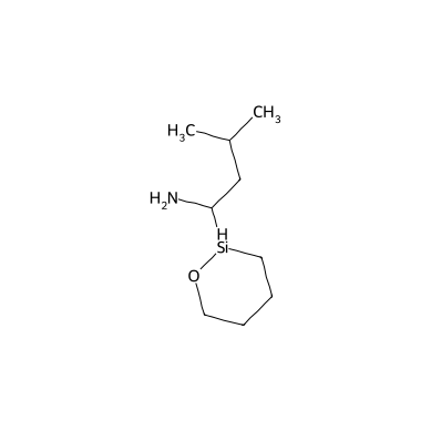 CC(C)CC(N)[SiH]1CCCCO1